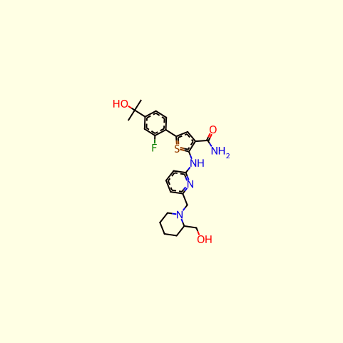 CC(C)(O)c1ccc(-c2cc(C(N)=O)c(Nc3cccc(CN4CCCCC4CO)n3)s2)c(F)c1